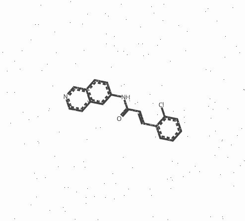 O=C(/C=C/c1ccccc1Cl)Nc1ccc2cnccc2c1